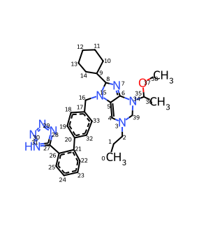 CCCN1C=C2C(=NC(C3CCCCC3)N2Cc2ccc(-c3ccccc3-c3nnn[nH]3)cc2)N(C(C)OC)C1